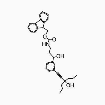 CCCC(O)(C#Cc1cccc(C(O)CCNC(=O)OCC2c3ccccc3-c3ccccc32)c1)CCC